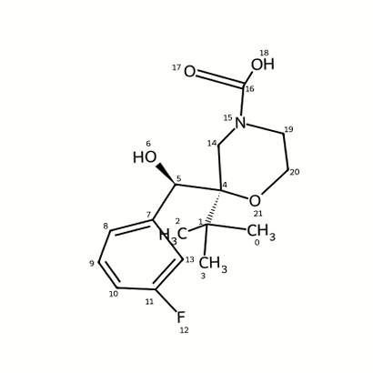 CC(C)(C)[C@]1([C@H](O)c2cccc(F)c2)CN(C(=O)O)CCO1